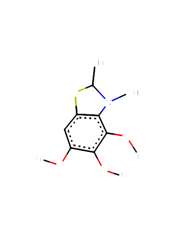 CCCC1Sc2cc(OCC)c(OCC)c(OCC)c2N1[SiH3]